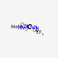 CNC(=O)Nc1nc2c(s1)CN(c1nnc(C(F)(F)F)o1)CC2